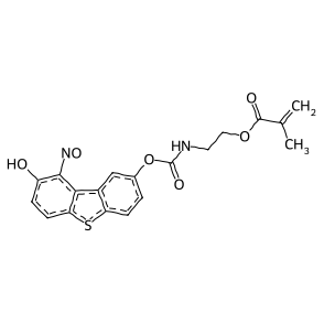 C=C(C)C(=O)OCCNC(=O)Oc1ccc2sc3ccc(O)c(N=O)c3c2c1